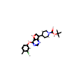 Cc1ccc(Oc2ncnc3c(C4CCN(C(=O)OC(C)(C)C)CC4)coc23)cc1F